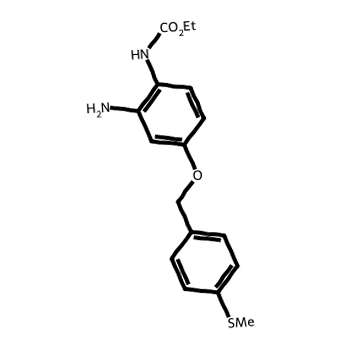 CCOC(=O)Nc1ccc(OCc2ccc(SC)cc2)cc1N